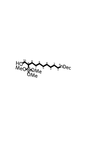 CCCCCCCCCCCCCCCCCCC(CO)[Si](OC)(OC)OC